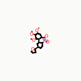 COc1cc(C=O)c(-c2cc(-c3ccco3)ccc2[N+](=O)[O-])c(OC)c1OC